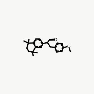 COc1ccc(CC(C=O)c2ccc3c(c2)C(C)(C)CCC3(C)C)cc1